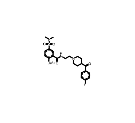 COc1ccc(S(=O)(=O)N(C)C)cc1C(=O)NCCN1CCC(C(=O)c2ccc(F)cc2)CC1